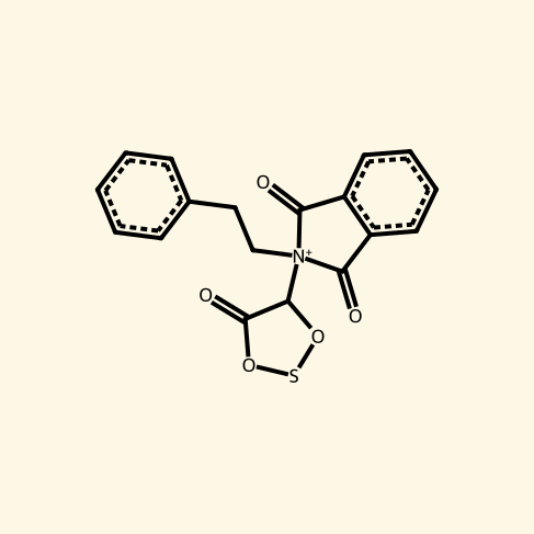 O=C1OSOC1[N+]1(CCc2ccccc2)C(=O)c2ccccc2C1=O